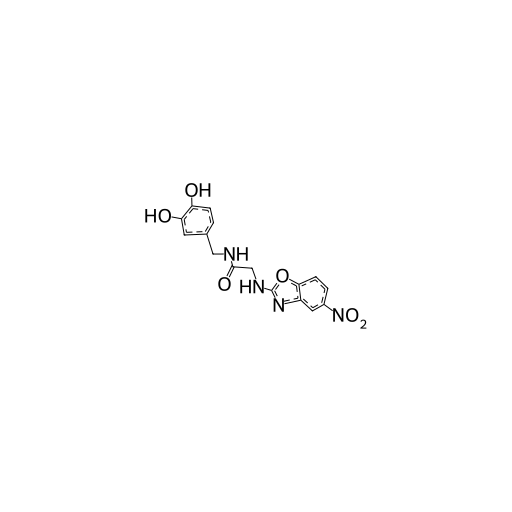 O=C(CNc1nc2cc([N+](=O)[O-])ccc2o1)NCc1ccc(O)c(O)c1